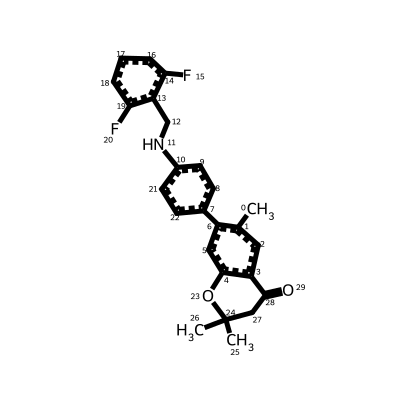 Cc1cc2c(cc1-c1ccc(NCc3c(F)cccc3F)cc1)OC(C)(C)CC2=O